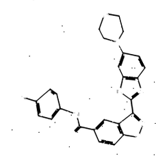 Nc1ccc(NC(=O)c2ccc3[nH]nc(-c4nc5ccc(N6CCOCC6)cc5[nH]4)c3c2)cc1